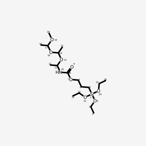 CCO[Si](CCCOC(=O)NC(C)OC(C)OC(C)OC)(OCC)OCC